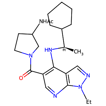 CCn1ncc2c(N[C@H](C)C3CCCCC3)c(C(=O)N3CCC(NC(C)=O)C3)cnc21